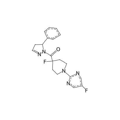 O=C(N1N=CCC1c1ccccc1)C1(F)CCN(c2ncc(F)cn2)CC1